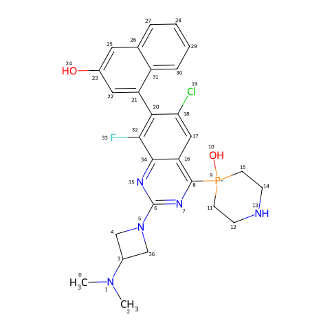 CN(C)C1CN(c2nc([P]3(O)CCNCC3)c3cc(Cl)c(-c4cc(O)cc5ccccc45)c(F)c3n2)C1